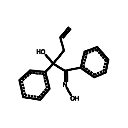 C=CCC(O)(/C(=N/O)c1ccccc1)c1ccccc1